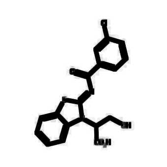 O=C(/N=c1\sc2ccccc2n1C(CO)C(=O)O)c1cccc(Cl)c1